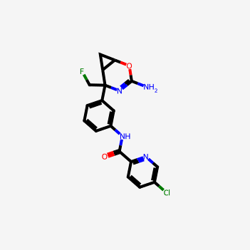 NC1=NC(CF)(c2cccc(NC(=O)c3ccc(Cl)cn3)c2)C2CC2O1